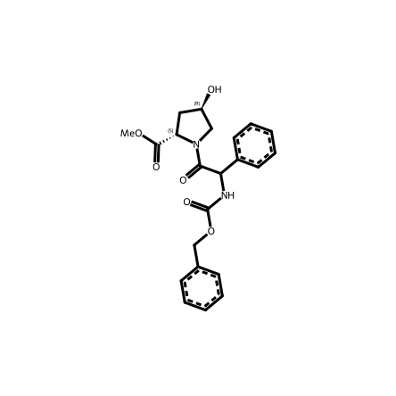 COC(=O)[C@@H]1C[C@@H](O)CN1C(=O)C(NC(=O)OCc1ccccc1)c1ccccc1